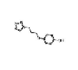 Oc1ccc(OCCCn2ccnn2)cc1